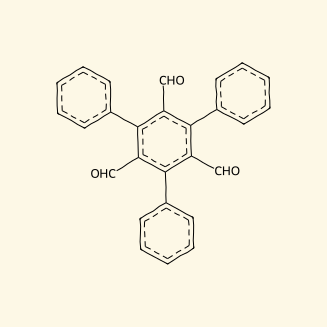 O=Cc1c(-c2ccccc2)c(C=O)c(-c2ccccc2)c(C=O)c1-c1ccccc1